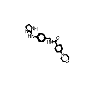 O=C(NCc1ccc(NC2=NCCN2)cc1)c1ccc(N2CCOCC2)cc1